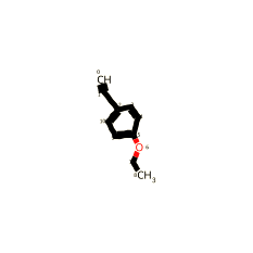 C#Cc1c[c]c(OCC)cc1